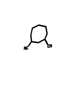 N#CC1CCCCCC(C#N)C1